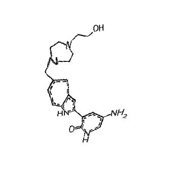 Nc1c[nH]c(=O)c(-c2cc3cc(CN4CCN(CCO)CC4)ccc3[nH]2)c1